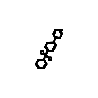 O=S(=O)(c1ccccc1)c1ccc(-c2cc[c]cc2)cc1